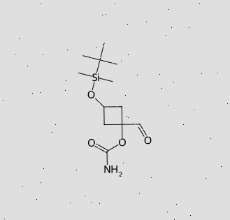 CC(C)(C)[Si](C)(C)OC1CC(C=O)(OC(N)=O)C1